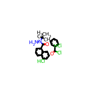 CC(C)(C)N(N)C(=O)c1cccc2ccccc12.Cl.Cl.O=C(Cl)c1ccccc1